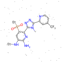 CCNc1cc(S(=O)(=O)CC)c(-c2nnc(-c3cc(C(F)(F)F)ccn3)n2C)nc1N